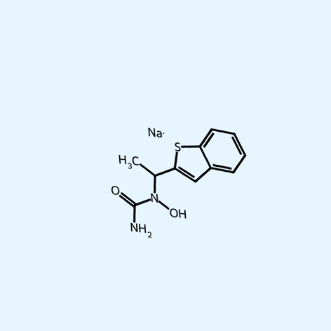 CC(c1cc2ccccc2s1)N(O)C(N)=O.[Na]